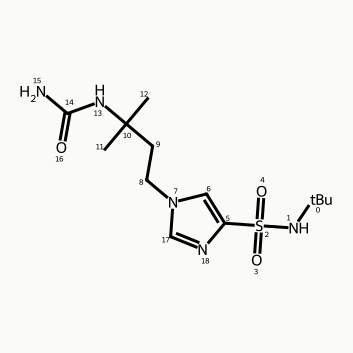 CC(C)(C)NS(=O)(=O)c1cn(CCC(C)(C)NC(N)=O)cn1